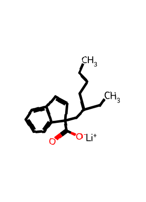 CCCCC(CC)CC1(C(=O)[O-])C=Cc2ccccc21.[Li+]